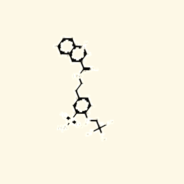 NS(=O)(=O)c1cc(CCNC(=O)c2cnc3ccccc3c2)ccc1OCC(F)(F)F